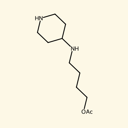 CC(=O)OCCCCNC1CCNCC1